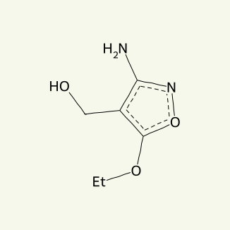 CCOc1onc(N)c1CO